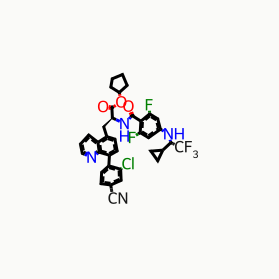 N#Cc1ccc(-c2ccc(C[C@H](NC(=O)c3c(F)cc(NC(C4CC4)C(F)(F)F)cc3F)C(=O)OC3CCCC3)c3cccnc23)c(Cl)c1